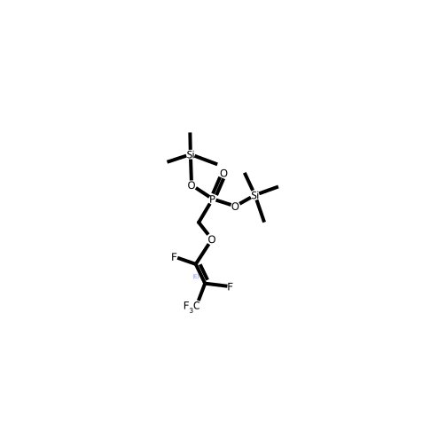 C[Si](C)(C)OP(=O)(CO/C(F)=C(\F)C(F)(F)F)O[Si](C)(C)C